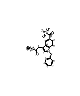 NC(=O)Cc1cn(Cc2ccccc2)c2ccc(C(=O)P(=O)([O-])[O-])cc12.[Na+].[Na+]